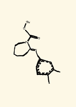 Cc1ccc(/N=C2\CCCN2C(=O)OC(C)(C)C)cc1C